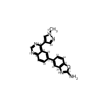 Cn1cc(-c2ncnc3ccc(-c4ccc5oc(N)nc5c4)cc23)cn1